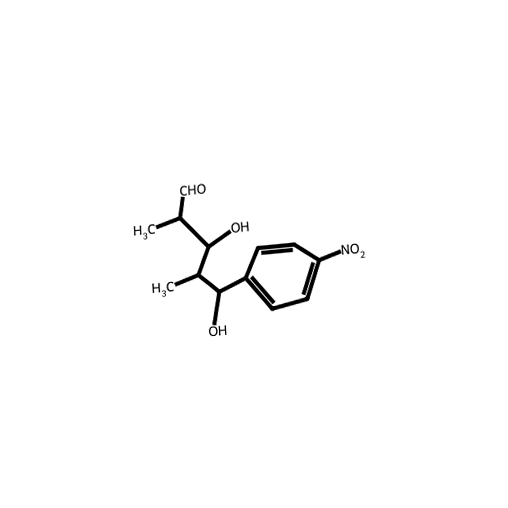 CC(C=O)C(O)C(C)C(O)c1ccc([N+](=O)[O-])cc1